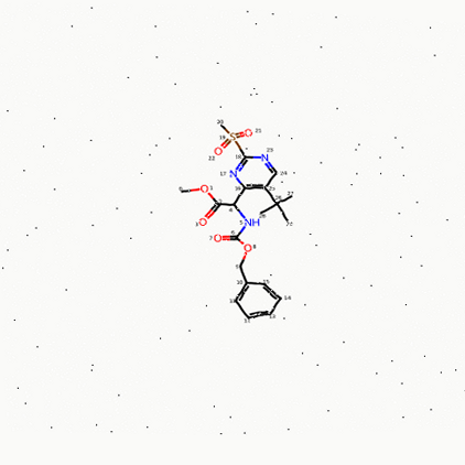 COC(=O)C(NC(=O)OCc1ccccc1)c1nc(S(C)(=O)=O)ncc1C(C)(C)C